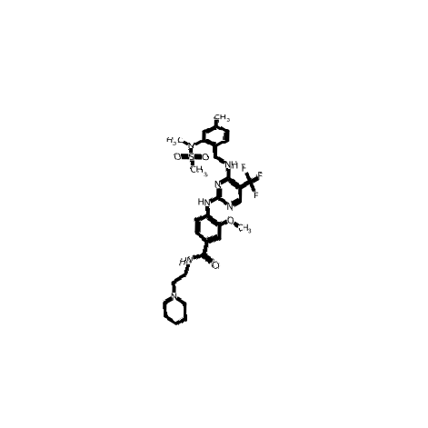 COc1cc(C(=O)NCCN2CCCCC2)ccc1Nc1ncc(C(F)(F)F)c(NCc2ccc(C)cc2N(C)S(C)(=O)=O)n1